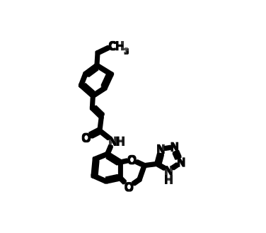 CCc1ccc(/C=C/C(=O)Nc2cccc3c2OC(c2nnn[nH]2)CO3)cc1